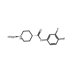 CCCCCCC[Si@H]1CC[C@H](C(=O)Oc2ccc(F)c(F)c2)CC1